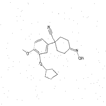 COc1ccc(C2(C#N)CCC(=NO)CC2)cc1OC1CCCC1